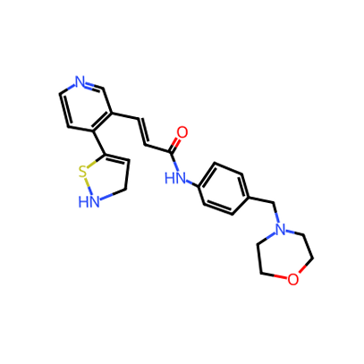 O=C(/C=C/c1cnccc1C1=CCNS1)Nc1ccc(CN2CCOCC2)cc1